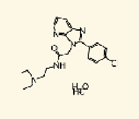 CCN(CC)CCNC(=O)Cn1c(-c2ccc(Cl)cc2)nc2cccnc21.Cl.O